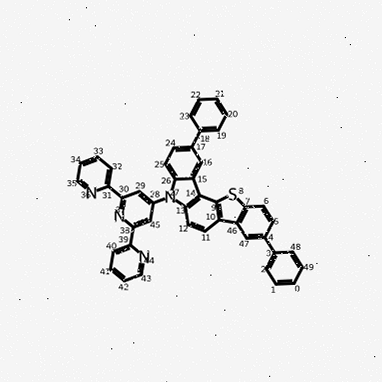 c1ccc(-c2ccc3sc4c(ccc5c4c4cc(-c6ccccc6)ccc4n5-c4cc(-c5ccccn5)nc(-c5ccccn5)c4)c3c2)cc1